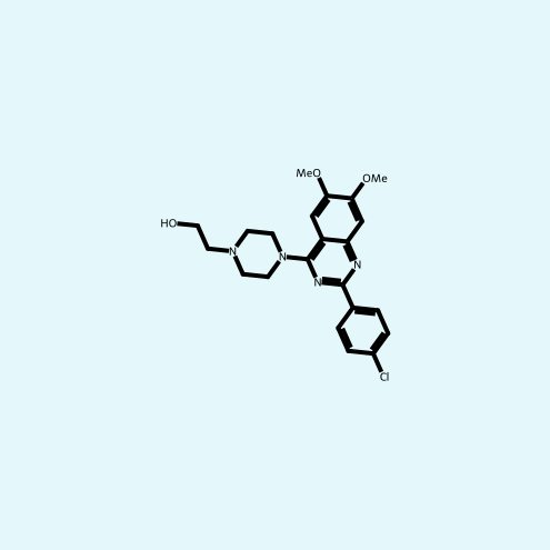 COc1cc2nc(-c3ccc(Cl)cc3)nc(N3CCN(CCO)CC3)c2cc1OC